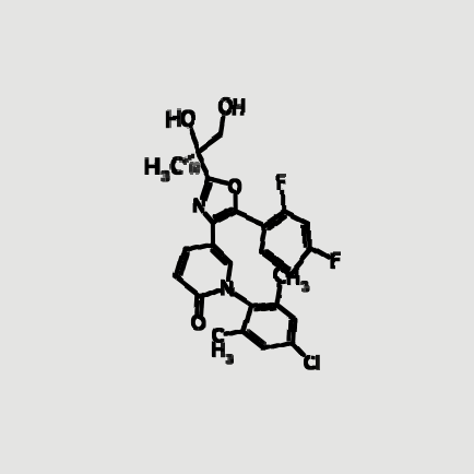 Cc1cc(Cl)cc(C)c1-n1cc(-c2nc([C@@](C)(O)CO)oc2-c2ccc(F)cc2F)ccc1=O